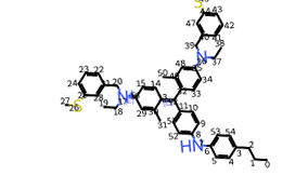 CCCc1ccc(Nc2ccc(/C(=C3C=C/C(=[N+](/CC)Cc4cccc(SC)c4)C=C/3C)c3ccc(N(CC)Cc4cccc(SC)c4)cc3C)cc2)cc1